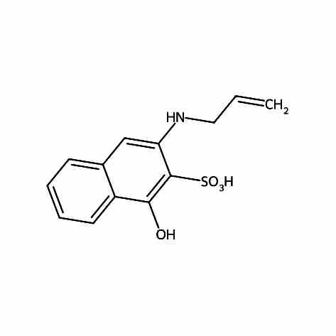 C=CCNc1cc2ccccc2c(O)c1S(=O)(=O)O